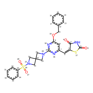 O=C1NC(=O)/C(=C\c2cc(OCc3ccccc3)nc(N3CC4(C3)CN(S(=O)(=O)c3ccccc3)C4)n2)S1